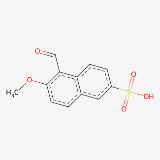 COc1ccc2cc(S(=O)(=O)O)ccc2c1C=O